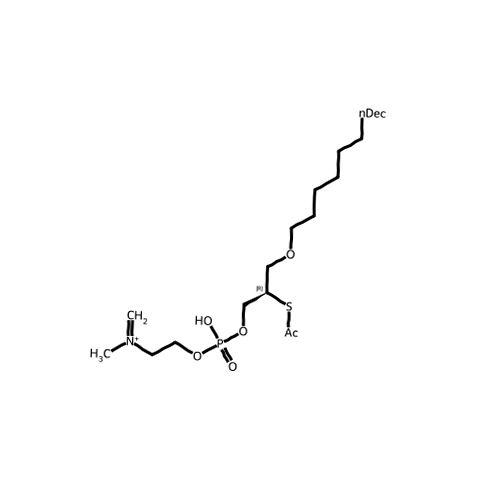 C=[N+](C)CCOP(=O)(O)OC[C@@H](COCCCCCCCCCCCCCCCC)SC(C)=O